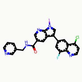 O=C(NCc1cccnc1)c1cnc2c(c1)c(-c1cc(F)c3nccc(Cl)c3c1)cn2I